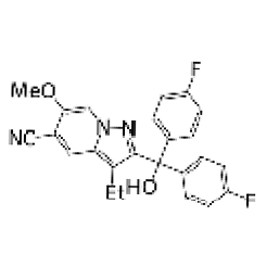 CCc1c(C(O)(c2ccc(F)cc2)c2ccc(F)cc2)nn2cc(OC)c(C#N)cc12